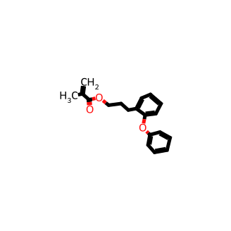 C=C(C)C(=O)OCCCc1ccccc1Oc1ccccc1